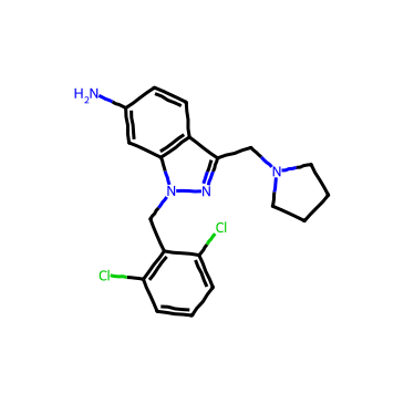 Nc1ccc2c(CN3CCCC3)nn(Cc3c(Cl)cccc3Cl)c2c1